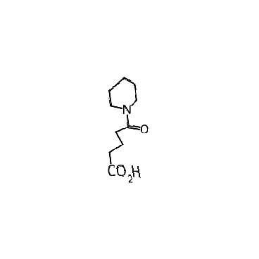 O=C(O)CCCC(=O)N1CCCCC1